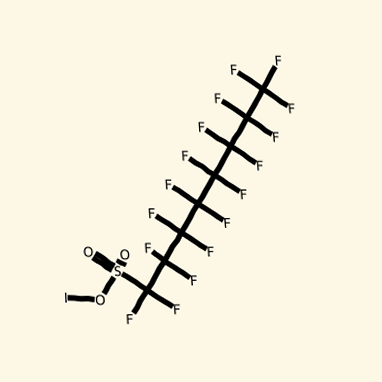 O=S(=O)(OI)C(F)(F)C(F)(F)C(F)(F)C(F)(F)C(F)(F)C(F)(F)C(F)(F)C(F)(F)F